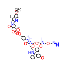 CCc1c2c(nc3ccc(O[Si](C)(C)C(C)(C)C)cc13)-c1cc3c(c(=O)n1C2)COC(=O)C3(CC)OC(=O)OCc1ccc(NC(=O)C(CCCCNC(c2ccccc2)(c2ccccc2)c2ccc(OC)cc2)NC(=O)COCC(=O)NCCOCCN=[N+]=[N-])cc1